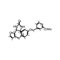 COc1cc(COc2ccc(Sc3ccoc3C3NC(=O)NC3=O)cc2)ccn1